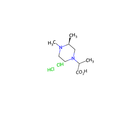 CC(C(=O)O)N1CCN(C)[C@@H](C)C1.Cl.Cl